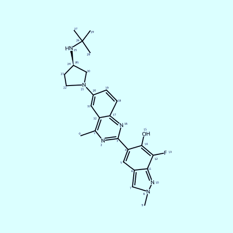 Cc1nc(-c2cc3cn(C)nc3c(F)c2O)nc2ccc(N3CC[C@@H](NC(C)(C)C)C3)cc12